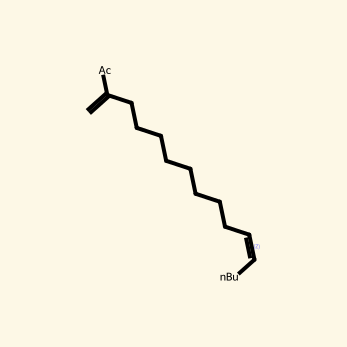 C=C(CCCCCCCC/C=C\CCCC)C(C)=O